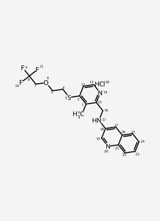 Cc1c(SCCOCC(F)(F)F)ccnc1CNc1cnc2ccccc2c1.Cl